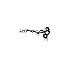 CC(=O)OCCSSCCOC(=O)N1CC/C(=C2/c3ccc(Cl)cc3CCc3cccnc32)C1